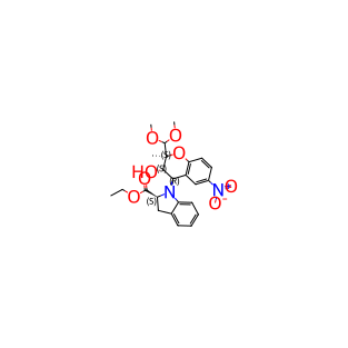 CCOC(=O)[C@@H]1Cc2ccccc2N1[C@@H]1c2cc([N+](=O)[O-])ccc2O[C@](C)(C(OC)OC)[C@H]1O